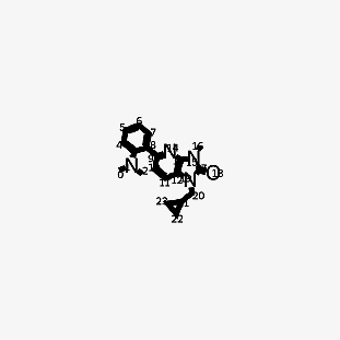 CN(C)c1ccccc1-c1ccc2c(n1)n(C)c(=O)n2CC1CC1